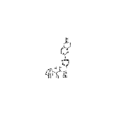 N#C[C@H](Cc1ccc(-c2ccc3c(c2)CCNC3)cc1)NC(=O)[C@H]1NC2CCC1CC2